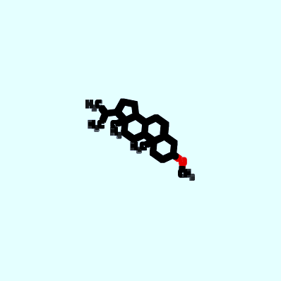 COC1CCC2(C)C(=CCC3C2CCC2(C)C(C(C)C)CCC32)C1